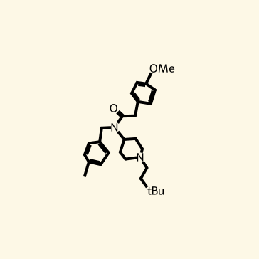 COc1ccc(CC(=O)N(Cc2ccc(C)cc2)C2CCN(CCC(C)(C)C)CC2)cc1